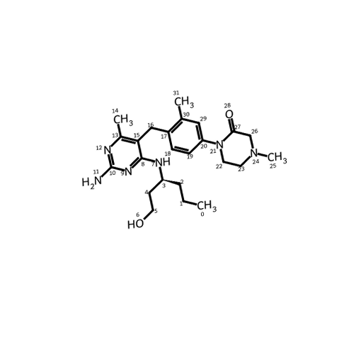 CCC[C@@H](CCO)Nc1nc(N)nc(C)c1Cc1ccc(N2CCN(C)CC2=O)cc1C